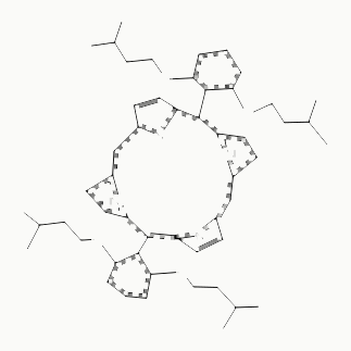 CC(C)CCOc1cccc(OCCC(C)C)c1-c1c2nc(cc3ccc([nH]3)c(-c3c(OCCC(C)C)cccc3OCCC(C)C)c3nc(cc4ccc1[nH]4)C=C3)C=C2